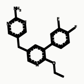 CCOc1ncc(Cc2cnc(N)nc2)cc1-c1ccc(F)c(F)c1